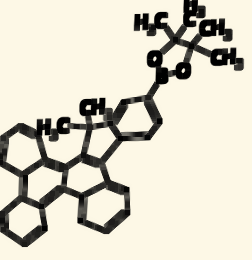 CC1(C)c2cc(B3OC(C)(C)C(C)(C)O3)ccc2-c2c1c1c3ccccc3c3ccccc3c1c1ccccc21